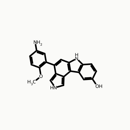 COc1ccc(N)cc1-c1cc2[nH]c3ccc(O)cc3c2c2c[nH]cc12